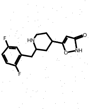 O=c1cc(C2CCNC(Cc3cc(F)ccc3F)C2)o[nH]1